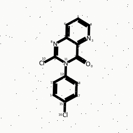 O=c1c2ncccc2nc(Cl)n1-c1ccc(Cl)cc1